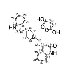 O=C(O)/C=C\C(=O)O.O=c1cc(CCN2CCC(c3c[nH]c4ccccc34)CC2)c2ccccc2[nH]1